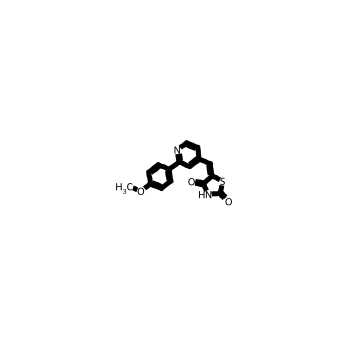 COc1ccc(-c2cc(C=C3SC(=O)NC3=O)ccn2)cc1